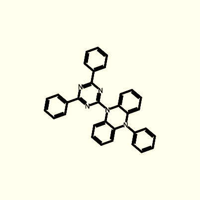 c1ccc(-c2nc(-c3ccccc3)nc(N3c4ccccc4N(c4ccccc4)c4ccccc43)n2)cc1